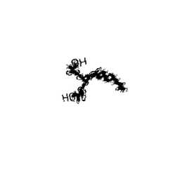 C=C(CO)C(=O)OCCOc1cc(OCCOC(=O)C(=C)CO)cc(OC(F)(F)c2ccc(C3CCC(CCCCC)CC3)cc2)c1